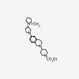 CCOC(=O)N1CCC(N2CCc3cc(N4CC[C@H](N5CCC[C@@H]5C)C4)ccc3C2)CC1